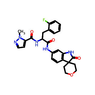 Cn1nccc1C(=O)NC(Cc1ccccc1F)C(=O)Nc1ccc2c(c1)NC(=O)C21CCOCC1